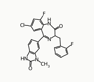 Cn1c(=O)[nH]c2ccc(C3=NC(Cc4ccccc4F)C(=O)Nc4c(F)cc(Cl)cc43)cc21